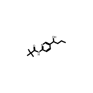 CCCC(O)c1ccc(NC(=O)C(C)(C)C)nc1